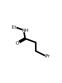 CCNC(=O)CCC(C)C